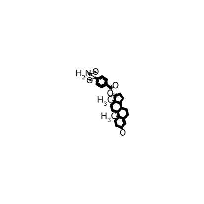 C[C@]12CCC(=O)C=C1CCC1C2CC[C@@]2(C)C1CC[C@@H]2OC(=O)c1ccc(S(N)(=O)=O)cc1